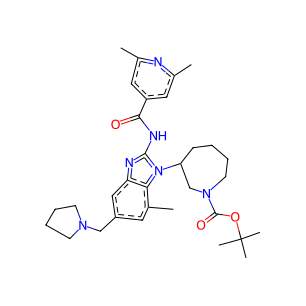 Cc1cc(C(=O)Nc2nc3cc(CN4CCCC4)cc(C)c3n2C2CCCCN(C(=O)OC(C)(C)C)C2)cc(C)n1